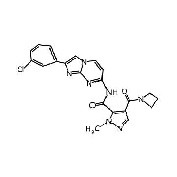 Cn1ncc(C(=O)N2CCC2)c1C(=O)Nc1ccn2cc(-c3cccc(Cl)c3)nc2n1